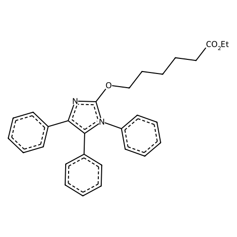 CCOC(=O)CCCCCOc1nc(-c2ccccc2)c(-c2ccccc2)n1-c1ccccc1